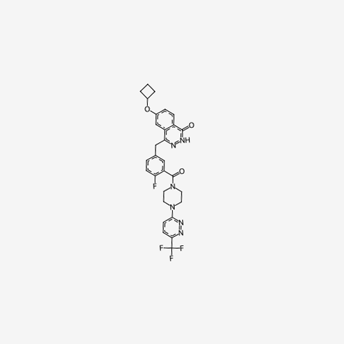 O=C(c1cc(Cc2n[nH]c(=O)c3ccc(OC4CCC4)cc23)ccc1F)N1CCN(c2ccc(C(F)(F)F)nn2)CC1